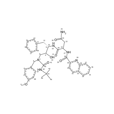 COc1ccc(CN(CC(O)[C@H](Cc2ccccc2)NC(=O)C(CC(N)=O)NC(=O)c2ccc3ccccc3n2)C(=O)NC(C)(C)C)cc1